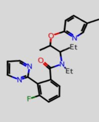 CCC(C(C)Oc1ccc(C)cn1)N(CC)C(=O)c1cccc(F)c1-c1ncccn1